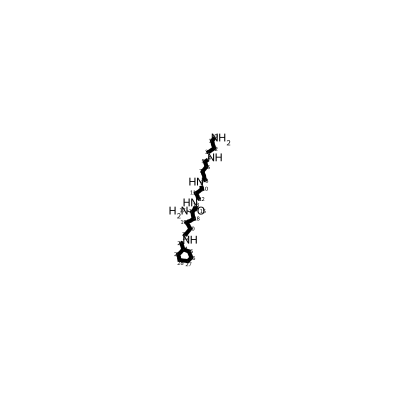 NCCCNCCCCNCCCNC(=O)[C@@H](N)CCCCNCC1CCCCC1